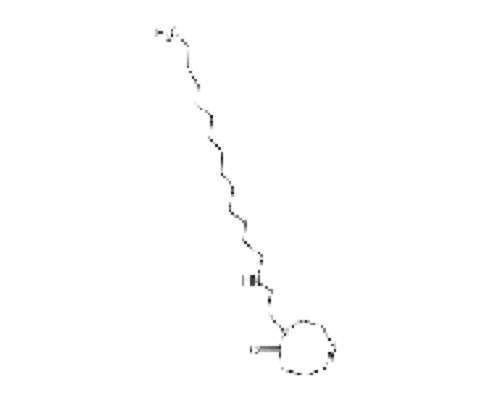 CCCCCCCCCCCCCCNCCN1CC/N=C\CCC1=O